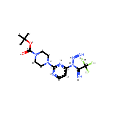 CC(C)(C)OC(=O)N1CCN(c2nccc(N(N=N)C(=N)C(F)(F)F)n2)CC1